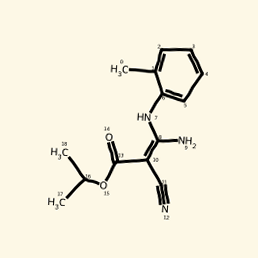 Cc1ccccc1N/C(N)=C(/C#N)C(=O)OC(C)C